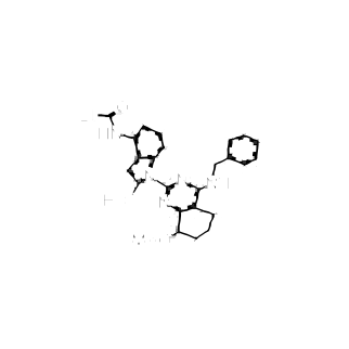 CCC(=O)Nc1cccc2c1cc(C)n2-c1nc(NCc2ccccc2)c2c(n1)C(OC)CCC2